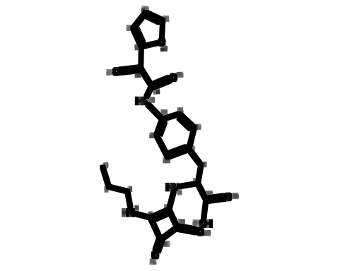 CCCNc1c(NC(Cc2ccc(NC(=O)C(=O)c3ccco3)cc2)C(=O)O)c(=O)c1=O